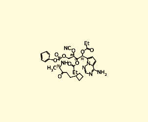 CCC(=O)O[C@H]([C@@H](COP(=O)(N[C@@H](C)C(=O)CCC1CCC1)Oc1ccccc1)OC#N)[C@@H](OC(=O)CC)c1ccc2c(N)ncnn12